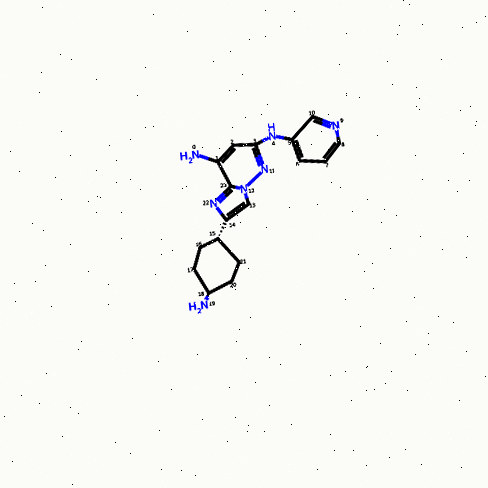 Nc1cc(Nc2cccnc2)nn2cc([C@H]3CC[C@H](N)CC3)nc12